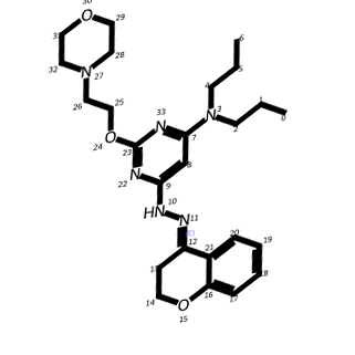 CCCN(CCC)c1cc(N/N=C2\CCOc3ccccc32)nc(OCCN2CCOCC2)n1